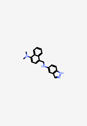 CN(C)c1ccc(CNc2ccc3[nH]ncc3c2)c2ccccc12